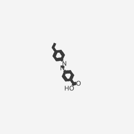 CCc1ccc(/N=N/c2ccc(C(=O)O)cc2)cc1